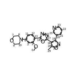 COc1cc(N2CCOCC2)ccc1-c1nnc(-c2c(-c3cccnc3)noc2C)o1